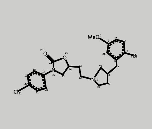 COc1ccc(Br)c(CC2CCN(CCC3CN(c4ccc(Cl)cc4)C(=O)O3)C2)c1